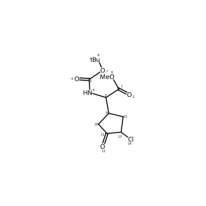 COC(=O)C(NC(=O)OC(C)(C)C)C1CC(=O)C(Cl)C1